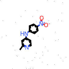 Cc1cc(Nc2ccc([N+](=O)[O-])cc2)ccn1